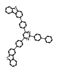 c1ccc(-c2ccc(-c3nc(-c4ccc(-c5ccc6sc7ccccc7c6c5)cc4)cc(-c4ccc(-c5ccc6sc7ccccc7c6c5)cc4)n3)cc2)cc1